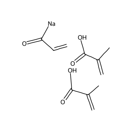 C=C(C)C(=O)O.C=C(C)C(=O)O.C=C[C](=O)[Na]